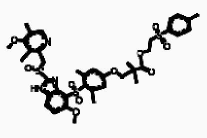 COc1ccc2[nH]c([S+]([O-])Cc3ncc(C)c(OC)c3C)nc2c1S(=O)(=O)c1c(C)cc(OCC(C)(C)C(=O)OCCS(=O)(=O)c2ccc(C)cc2)cc1C